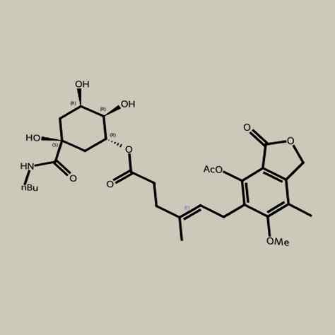 CCCCNC(=O)[C@]1(O)C[C@@H](O)[C@@H](O)[C@H](OC(=O)CC/C(C)=C/Cc2c(OC)c(C)c3c(c2OC(C)=O)C(=O)OC3)C1